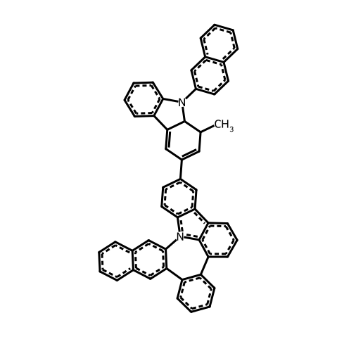 CC1C=C(c2ccc3c(c2)c2cccc4c2n3-c2cc3ccccc3cc2-c2ccccc2-4)C=C2c3ccccc3N(c3ccc4ccccc4c3)C21